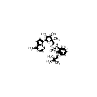 C[C@H](NP(=O)(OC[C@@]1(C)O[C@@H](c2ccc3c(N)ncnn23)[C@H](O)[C@@H]1O)Oc1ccccc1)C(=O)OCC(C)(C)C(F)(F)F